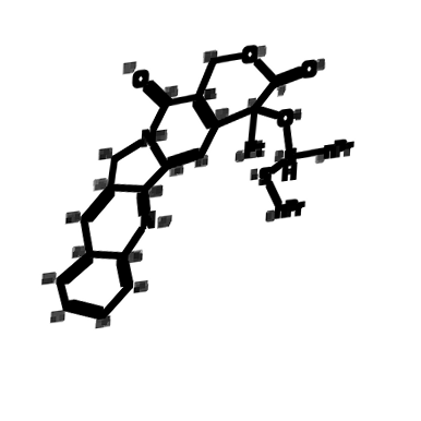 CCCS[SH](CCC)OC1(CC)C(=O)OCc2c1cc1n(c2=O)Cc2cc3ccccc3nc2-1